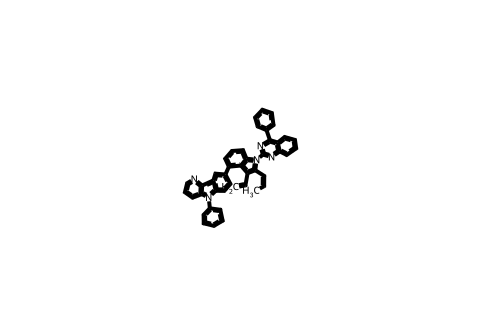 C=Cc1c(/C=C\C)n(-c2nc(-c3ccccc3)c3ccccc3n2)c2cccc(-c3ccc4c(c3)c3ncccc3n4-c3ccccc3)c12